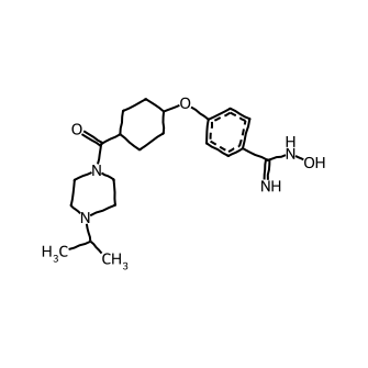 CC(C)N1CCN(C(=O)C2CCC(Oc3ccc(C(=N)NO)cc3)CC2)CC1